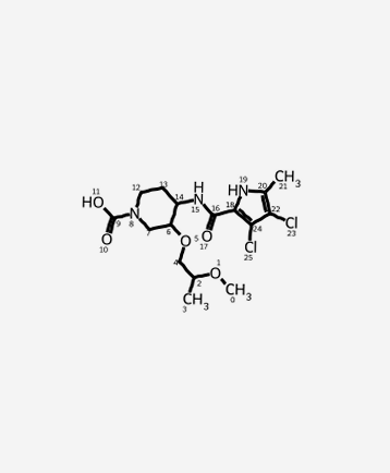 COC(C)COC1CN(C(=O)O)CCC1NC(=O)c1[nH]c(C)c(Cl)c1Cl